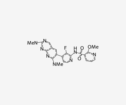 CNc1ncc2cc(-c3ccnc(NS(=O)(=O)c4cccnc4OC)c3F)c(NC)nc2n1